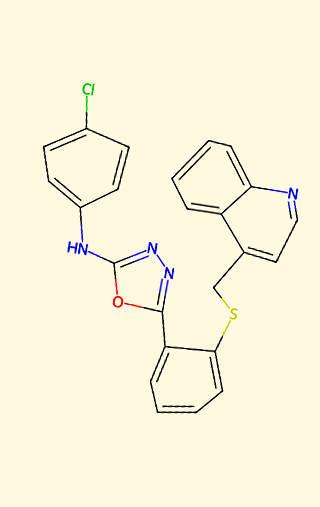 Clc1ccc(Nc2nnc(-c3ccccc3SCc3ccnc4ccccc34)o2)cc1